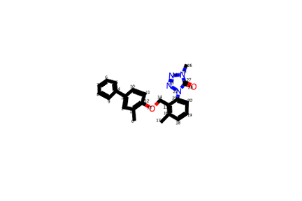 Cc1cc(-c2ccccc2)ccc1OCc1c(C)cccc1-n1nnn(C)c1=O